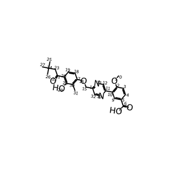 COc1ccc(C(=O)O)cc1-c1cnc(COc2ccc(C(=O)CC(C)(C)C)c(O)c2C)cn1